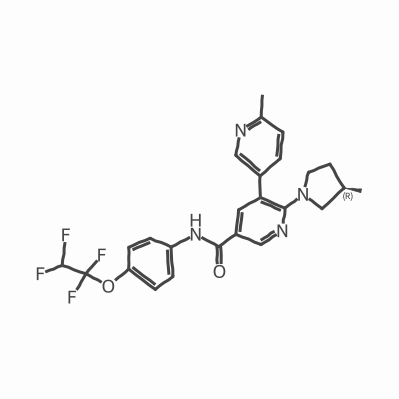 Cc1ccc(-c2cc(C(=O)Nc3ccc(OC(F)(F)C(F)F)cc3)cnc2N2CC[C@@H](C)C2)cn1